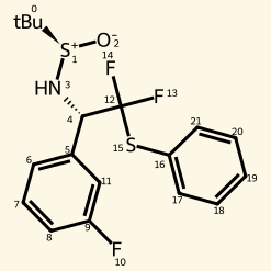 CC(C)(C)[S@@+]([O-])N[C@@H](c1cccc(F)c1)C(F)(F)Sc1ccccc1